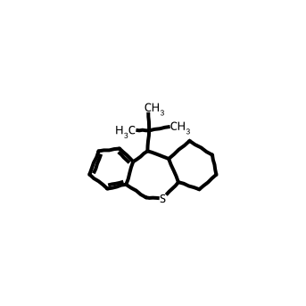 CC(C)(C)C1c2ccccc2CSC2CCCCC21